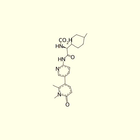 Cc1c(-c2ccc(NC(=O)[C@@H](NC(=O)O)C3CCC(C)CC3)nc2)ccc(=O)n1C